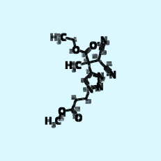 CCOC(=O)C(C)(c1cn(CCC(=O)OC)nn1)C(C#N)C#N